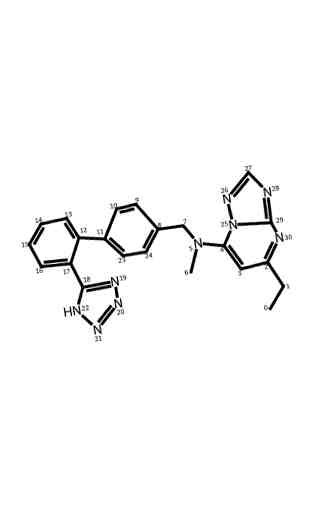 CCc1cc(N(C)Cc2ccc(-c3ccccc3-c3nnn[nH]3)cc2)n2ncnc2n1